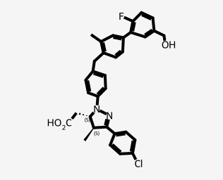 Cc1cc(-c2cc(CO)ccc2F)ccc1Cc1ccc(N2N=C(c3ccc(Cl)cc3)[C@@H](C)[C@@H]2CC(=O)O)cc1